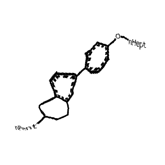 CCCCCCCOc1ccc(-c2ccc3c(c2)CCC(CCCCC)C3)cc1